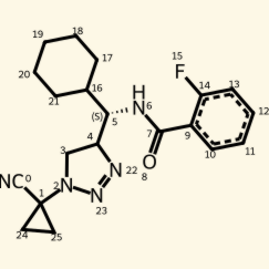 N#CC1(N2CC([C@@H](NC(=O)c3ccccc3F)C3CCCCC3)N=N2)CC1